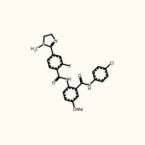 COc1ccc(NC(=O)c2ccc(C3=NCCN3C)cc2F)c(C(=O)Nc2ccc(Cl)cc2)c1